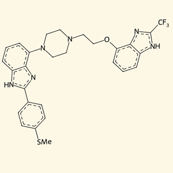 CSc1ccc(-c2nc3c(N4CCN(CCOc5cccc6[nH]c(C(F)(F)F)nc56)CC4)cccc3[nH]2)cc1